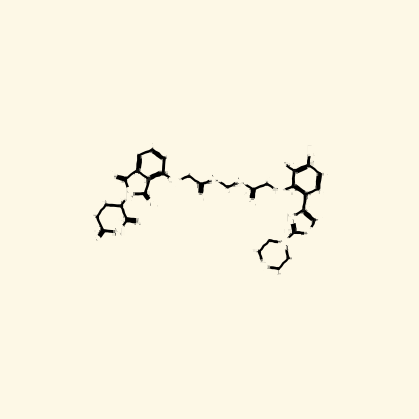 O=C(COc1cccc2c1C(=O)N(C1CCC(=O)NC1=O)C2=O)NCNC(=O)COc1c(-c2csc(N3CCOCC3)n2)ccc(F)c1F